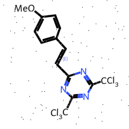 COc1ccc(/C=C/c2nc(C(Cl)(Cl)Cl)nc(C(Cl)(Cl)Cl)n2)cc1